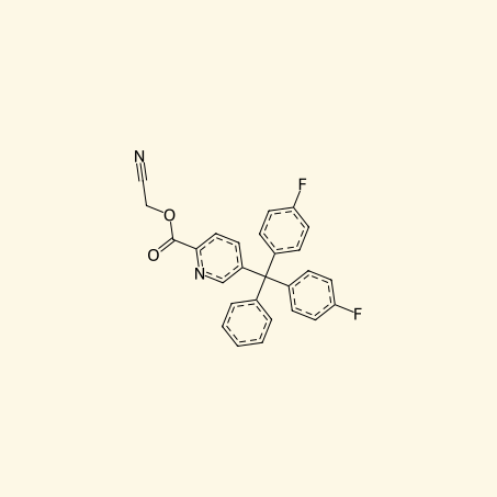 N#CCOC(=O)c1ccc(C(c2ccccc2)(c2ccc(F)cc2)c2ccc(F)cc2)cn1